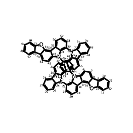 N#Cc1cc(-n2c3ccc4c5ccccc5oc4c3c3cccc(-n4c5ccccc5c5ccccc54)c32)c(C#N)cc1-n1c2ccc3c4ccccc4oc3c2c2cccc(-n3c4ccccc4c4ccccc43)c21